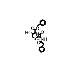 O=C(Cc1ccccc1)NC1C(=O)N2C(C(=O)OCc3ccccc3)=C(O)CS[C@H]12